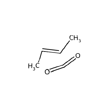 CC=CC.O=C=O